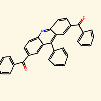 O=C(c1ccccc1)c1ccc2nc3ccc(C(=O)c4ccccc4)cc3c(-c3ccccc3)c2c1